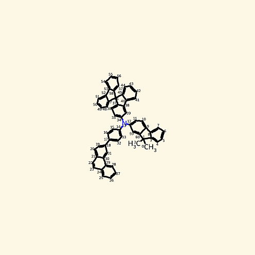 CC1(C)c2ccccc2-c2ccc(N(c3ccc(-c4ccc5ccc6ccccc6c5c4)cc3)c3ccc4c(c3)-c3ccccc3C43c4ccccc4-c4ccccc43)cc21